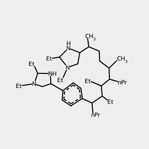 CCCC(c1ccc(C2CN(CC)C(CC)N2)cc1)C(CC)C(CC)C(CCC)C(C)CCC(C)C1CN(CC)C(CC)N1